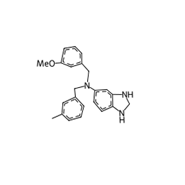 COc1cccc(CN(Cc2cccc(C)c2)c2ccc3c(c2)NCN3)c1